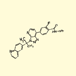 CCCNC(=O)c1ccc(-c2ccnc3c2nnn3C(C)(C)c2ccc3ncccc3c2)cc1F